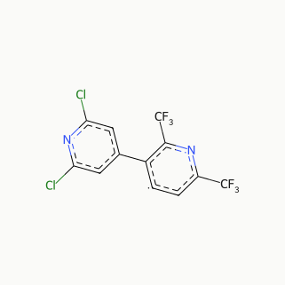 FC(F)(F)c1c[c]c(-c2cc(Cl)nc(Cl)c2)c(C(F)(F)F)n1